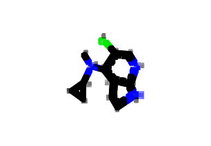 CN(c1c(Cl)cnc2[nH]ccc12)C1CC1